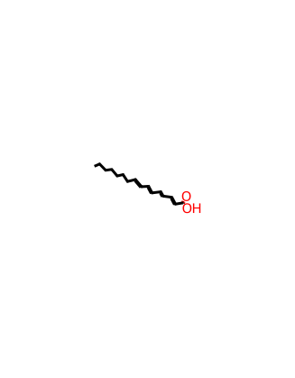 CCCCCCC/C=C/C=C/C=C/C=C/C(=O)O